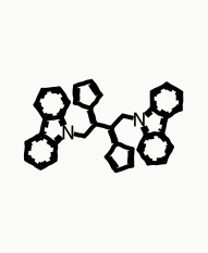 C1=CC(=C(Cn2c3ccccc3c3ccccc32)C(Cn2c3ccccc3c3ccccc32)=C2C=CC=C2)C=C1